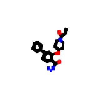 C=CC(=O)N1CCC(Oc2cc(-c3ccccc3)ccc2C(N)=O)CC1